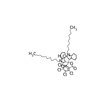 CCCCCCCCCCn1c(C)c(C2(c3c(C)n(CCCCCCCCCC)c4ccccc34)OC(=O)c3c(Cl)c(Cl)c(Cl)c(Cl)c32)c2ccccc21